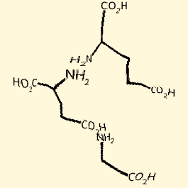 NC(CC(=O)O)C(=O)O.NC(CCC(=O)O)C(=O)O.NCC(=O)O